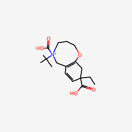 CCC1(C(=O)O)C=CC2=C(C1)OCCC[N+](C(=O)O)(C(C)(C)C)C2